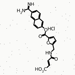 Cl.N=C(N)c1ccc2cc(OC(=O)c3ccc(CNC(=O)C=CC(=O)O)o3)ccc2c1